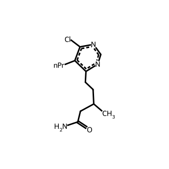 CCCc1c(Cl)ncnc1CCC(C)CC(N)=O